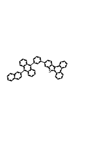 c1cc(-c2ccc3c(c2)sc2c4ccccc4c4ccccc4c32)cc(-c2c3ccccc3c(-c3ccc4ccccc4c3)c3ccccc23)c1